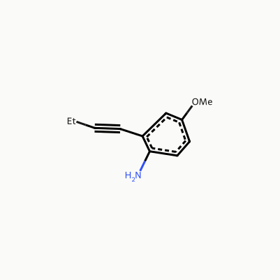 CCC#Cc1cc(OC)ccc1N